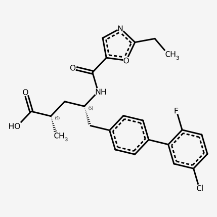 CCc1ncc(C(=O)N[C@H](Cc2ccc(-c3cc(Cl)ccc3F)cc2)C[C@H](C)C(=O)O)o1